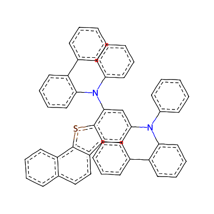 c1ccc(-c2ccccc2N(c2ccccc2)c2cc(N(c3ccccc3)c3ccccc3-c3ccccc3)c3sc4c5ccccc5ccc4c3c2)cc1